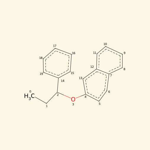 CCC(Oc1ccc2ccccc2c1)c1ccccc1